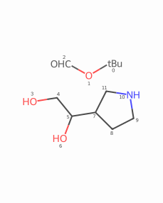 CC(C)(C)OC=O.OCC(O)C1CCNC1